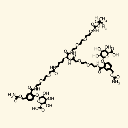 CC(C)(C)OC(=O)NOCCOCCOCCNC(=O)[C@H](CCCCNC(=O)COCCOCCNC(=O)c1cc(COC(N)=O)ccc1O[C@@H]1O[C@H](C(=O)O)[C@@H](O)[C@H](O)[C@H]1O)NC(=O)COCCOCCNC(=O)c1cc(COC(N)=O)ccc1O[C@@H]1O[C@H](C(=O)O)[C@@H](O)[C@H](O)[C@H]1O